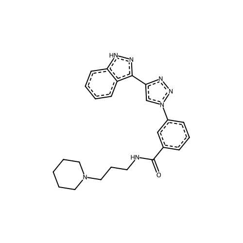 O=C(NCCCN1CCCCC1)c1cccc(-n2cc(-c3n[nH]c4ccccc34)nn2)c1